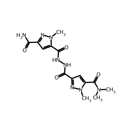 CN(C)C(=O)c1cc(C(=O)NNC(=O)c2cc(C(N)=O)nn2C)nn1C